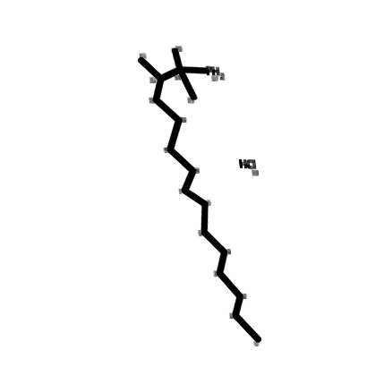 CCCCCCCCCCCCC(C)C(C)(C)P.Cl